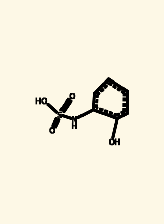 O=S(=O)(O)Nc1ccccc1O